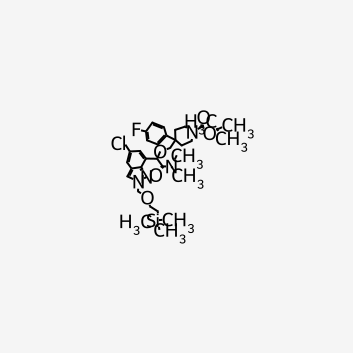 CN(C)C(=O)C(OCC1(c2ccc(F)cc2)CCN(C(=O)OC(C)(C)C)CC1)c1cc(Cl)cc2cn(COCC[Si](C)(C)C)nc12